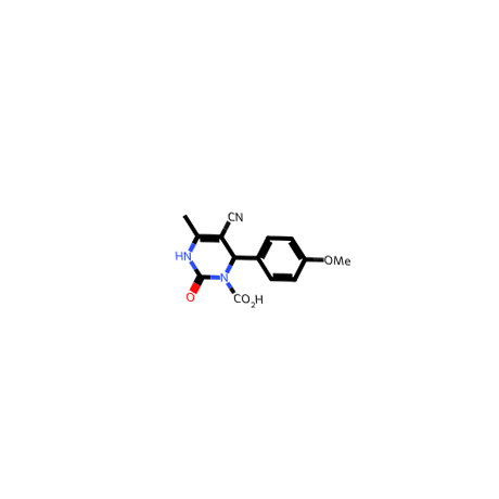 COc1ccc(C2C(C#N)=C(C)NC(=O)N2C(=O)O)cc1